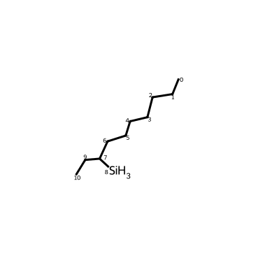 CCCCCCCC([SiH3])CC